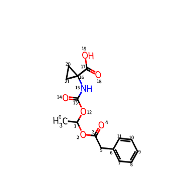 CC(OC(=O)Cc1ccccc1)OC(=O)NC1(C(=O)O)CC1